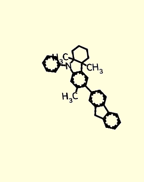 Cc1cc2c(cc1-c1ccc3c(c1)Cc1ccccc1-3)C1(C)CCCCC1(C)N2c1ccccc1